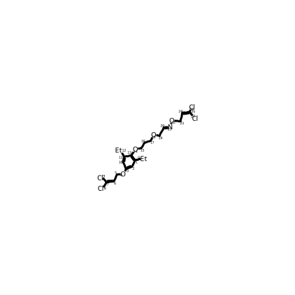 CCc1cc(OCC=C(Cl)Cl)cc(CC)c1OCCCOCC=NOCC=C(Cl)Cl